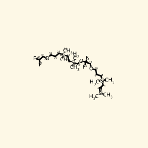 C[SiH](C)CC[Si](C)(C)CCCOCC(F)(F)OC[Si](C)(C)CC[Si](C)(C)CCCOCC(F)F